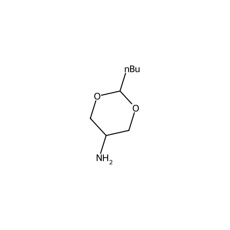 CCCCC1OCC(N)CO1